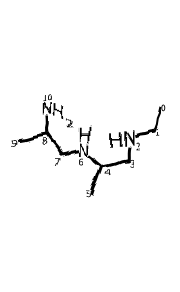 CCNCC(C)NCC(C)N